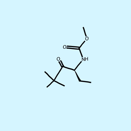 CC[C@H](NC(=O)OC)C(=O)C(C)(C)C